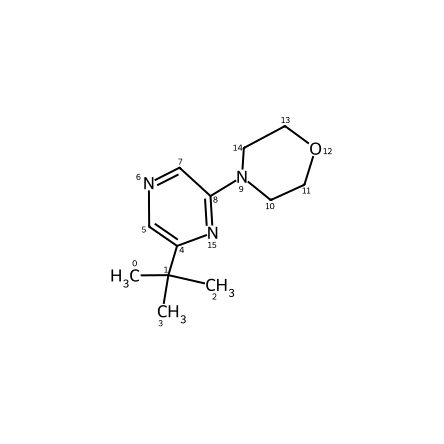 CC(C)(C)c1cncc(N2CCOCC2)n1